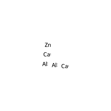 [Al].[Al].[Ca].[Ca].[Zn]